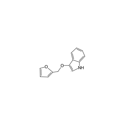 [c]1[nH]c2ccccc2c1OCc1ccco1